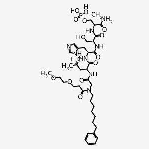 COCCOCCC(=O)N(CCCCCCCc1ccccc1)CC(=O)N[C@@H](CC(C)C)C(=O)N[C@@H](Cc1cnc[nH]1)C(=O)N[C@@H](CO)C(=O)N[C@H](C(N)=O)[C@@H](C)OP(=O)(O)O